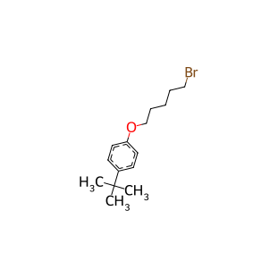 CC(C)(C)c1ccc(OCCCCCBr)cc1